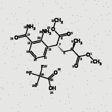 COC(=O)[C@H](C)C[C@@H](C(=O)OC)c1cccc(C(N)=O)c1N.O=C(O)C(F)(F)F